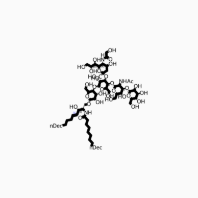 CCCCCCCCCCCCC/C=C/[C@@H](O)[C@H](CO[C@@H]1OC(CO)[C@@H](O[C@@H]2OC(CO)[C@H](O[C@@H]3OC(CO)[C@H](O)[C@H](O[C@@H]4OC(CO)[C@H](O)[C@H](O)C4O)C3NC(C)=O)[C@H](O[C@]3(C(=O)O)CC(O)[C@@H](NC(=O)CO)C([C@H](O)[C@H](O)CO)O3)C2O)[C@H](O)C1O)NC(=O)CCCCCCCCCCCCCCCCC